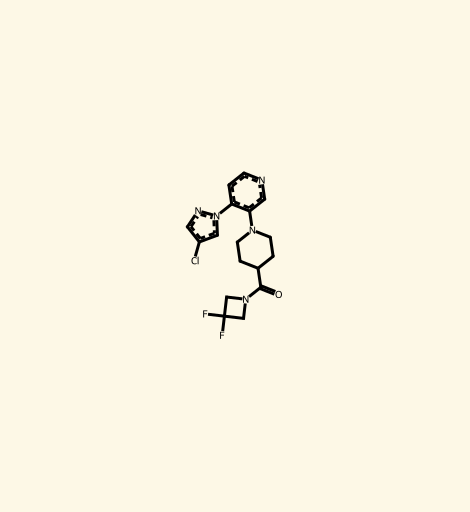 O=C(C1CCN(c2cnccc2-n2cc(Cl)cn2)CC1)N1CC(F)(F)C1